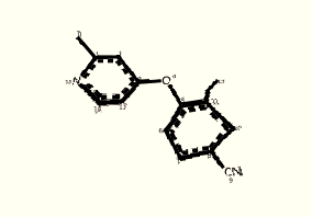 Cc1cc(Oc2ccc(C#N)cc2C)ccn1